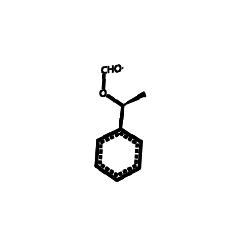 C[C@H](O[C]=O)c1ccccc1